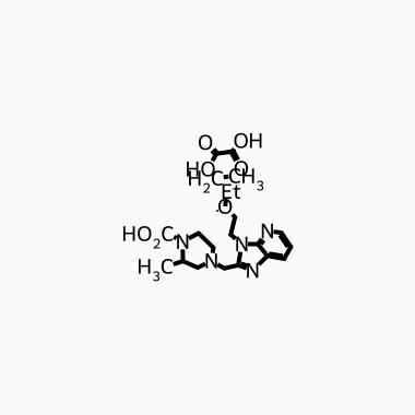 CCOCCn1c(CN2CCN(C(=O)O)C(C)C2)nc2cccnc21.O=C(O)C(=O)O.[CH2]C